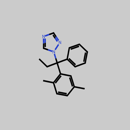 CCC(c1ccccc1)(c1cc(C)ccc1C)n1cncn1